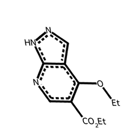 CCOC(=O)c1cnc2[nH]ncc2c1OCC